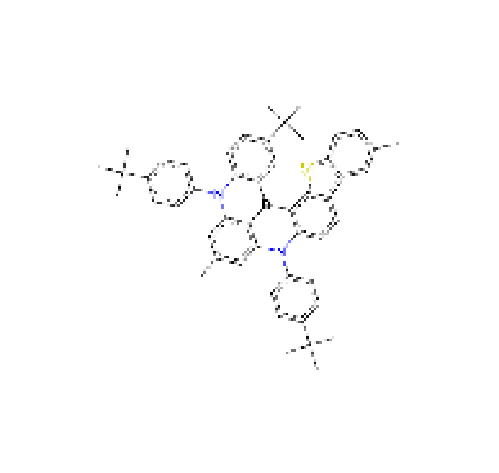 Cc1cc2c3c(c1)N(c1ccc(C(C)(C)C)cc1)c1ccc4c(sc5ccc(C)cc54)c1B3c1cc(C(C)(C)C)ccc1N2c1ccc(C(C)(C)C)cc1